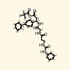 O=C(CCNC(=O)Nc1ccccc1)NCC(=O)NC(CC(=O)OC(=O)C(F)(F)F)c1ccc(-c2ccccc2)cc1